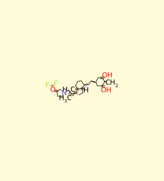 C=C1[C@H](O)CC(=C/C=C2\CCC[C@]3(C)[C@@H]([C@H](C)CN4CC[C@@H](OC(F)F)C4)CC[C@@H]23)C[C@H]1O